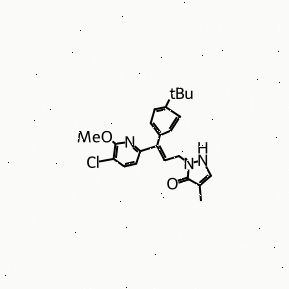 COc1nc(C(=CCn2[nH]cc(C)c2=O)c2ccc(C(C)(C)C)cc2)ccc1Cl